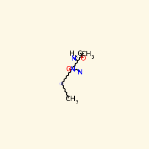 CCCCCCCC/C=C\CCCCCCCC(=O)N(CCC#N)CCCCC(C#N)CCC(=O)C(C)C